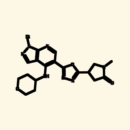 CCn1ncc2c(NC3CCOCC3)c(-c3nnc(C4CC(=O)N(C)C4)o3)cnc21